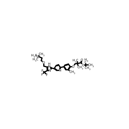 Cc1cc(-c2ccc(-c3nc(C(F)(F)F)c(COCC[Si](C)(C)C)[nH]3)cn2)ccc1OCC(C)(C)C(=O)OC(C)(C)C